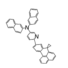 c1ccc2cc(N(c3ccc(-c4ccc5c(c4)C4(CC4)c4cccc6cccc-5c46)nc3)c3ccc4ccccc4c3)ccc2c1